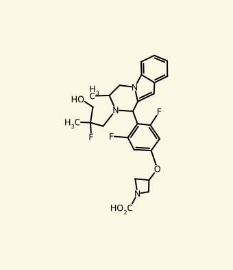 CC1Cn2c(cc3ccccc32)C(c2c(F)cc(OC3CN(C(=O)O)C3)cc2F)N1CC(C)(F)CO